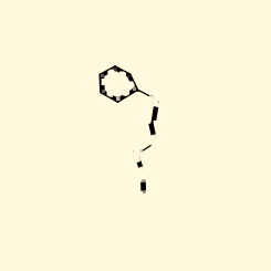 S=C=N[SH]=C=Nc1ccccc1